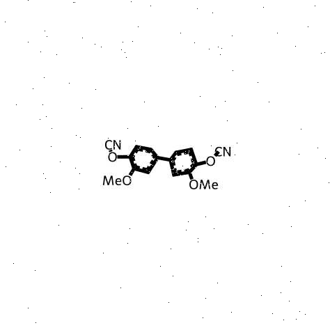 COc1cc(-c2ccc(OC#N)c(OC)c2)ccc1OC#N